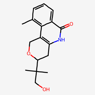 Cc1cccc2c(=O)[nH]c3c(c12)COC(C(C)(C)CO)C3